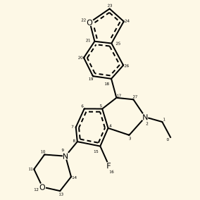 CCN1Cc2c(ccc(N3CCOCC3)c2F)C(c2ccc3occc3c2)C1